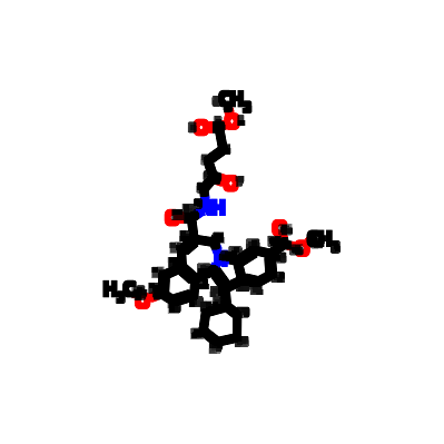 COC(=O)CCC(=O)CNC(=O)C1=Cc2cc(OC)ccc2-c2c(C3CCCCC3)c3ccc(C(=O)OC)cc3n2C1